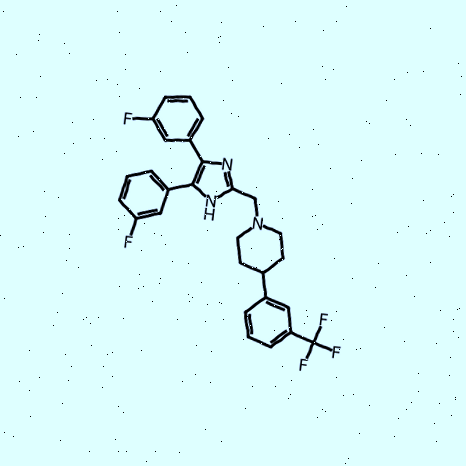 Fc1cccc(-c2nc(CN3CCC(c4cccc(C(F)(F)F)c4)CC3)[nH]c2-c2cccc(F)c2)c1